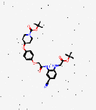 CC(C)(C)OC(=O)CNc1ccc(C#N)cc1NC(=O)COc1ccc(OC2CCN(C(=O)OC(C)(C)C)CC2)cc1